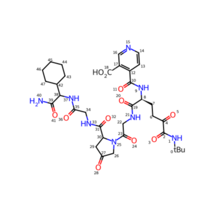 CC(C)(C)NC(=O)C(=O)CC[C@H](NC(=O)c1ccncc1C(=O)O)C(=O)NCC(=O)N1CC(=O)CC1C(=O)NCC(=O)NC(C(N)=O)C1CCCCC1